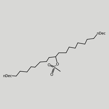 CCCCCCCCCCCCCCCCCCC(CCCCCCCCCCCCCCCCCC)OS(C)(=O)=O